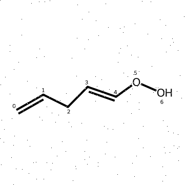 C=CCC=COO